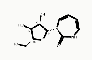 O=C1NC=CC=CN1[C@@H]1O[C@H](CO)[C@@H](O)[C@H]1O